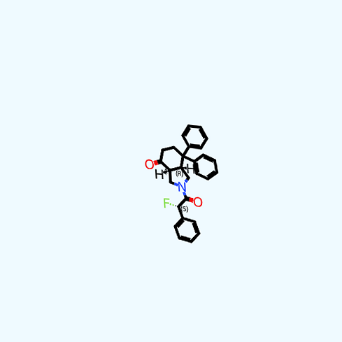 O=C1CCC(c2ccccc2)(c2ccccc2)[C@@H]2CN(C(=O)[C@@H](F)c3ccccc3)C[C@H]12